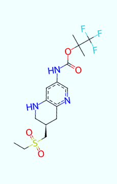 CCS(=O)(=O)C[C@H]1CNc2cc(NC(=O)OC(C)(C)C(F)(F)F)cnc2C1